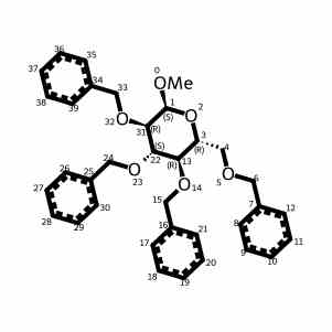 CO[C@H]1O[C@H](COCc2ccccc2)[C@@H](OCc2ccccc2)[C@H](OCc2ccccc2)[C@H]1OCc1ccccc1